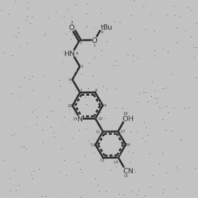 CC(C)(C)OC(=O)NCCc1ccc(-c2ccc(C#N)cc2O)nc1